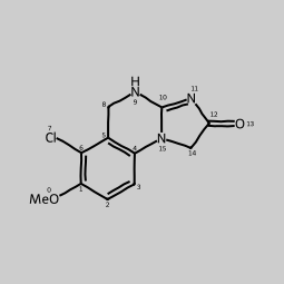 COc1ccc2c(c1Cl)CNC1=NC(=O)CN12